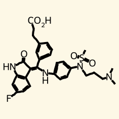 CN(C)CCCN(c1ccc(NC(=C2C(=O)Nc3cc(F)ccc32)c2cccc(CCC(=O)O)c2)cc1)S(C)(=O)=O